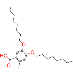 CCCCCCCCOc1cc(C)c(C(=O)O)cc1OCCCCCCCC